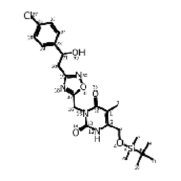 Cc1c(CO[Si](C)(C)C(C)(C)C)[nH]c(=O)n(Cc2nc(CC(O)c3ccc(Cl)cc3)no2)c1=O